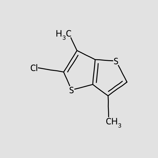 Cc1csc2c(C)c(Cl)sc12